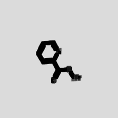 CCCOC(=O)c1ccccn1